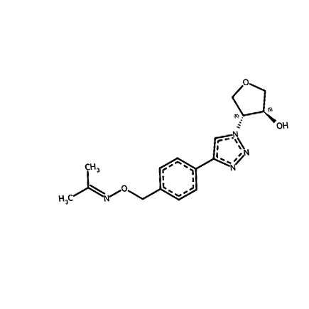 CC(C)=NOCc1ccc(-c2cn([C@@H]3COC[C@H]3O)nn2)cc1